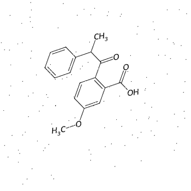 COc1ccc(C(=O)C(C)c2ccccc2)c(C(=O)O)c1